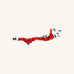 CCCCCCCCCCCC(CCCCCCCCCCC(=O)O)(C(=O)O)C(=O)NCCOCCOCCOCCOCCOCCOCCOCCOCCOCCOCCOCCOCCOCCOCCOCCOCCOCCOCCOCCOCCOCCOCCOCCOCCC(=O)NC